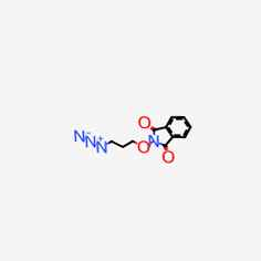 [N-]=[N+]=NCCCON1C(=O)c2ccccc2C1=O